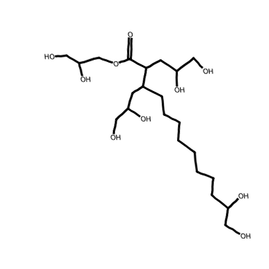 O=C(OCC(O)CO)C(CC(O)CO)C(CCCCCCCCC(O)CO)CC(O)CO